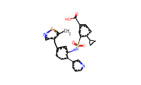 Cc1sncc1-c1ccc(-c2cccnc2)c(NS(=O)(=O)c2cc(C(=O)O)ccc2C2CC2)c1